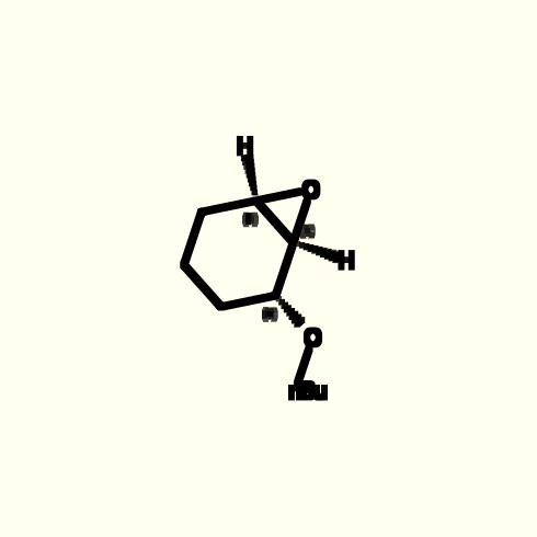 CCCCO[C@@H]1CCC[C@H]2O[C@@H]12